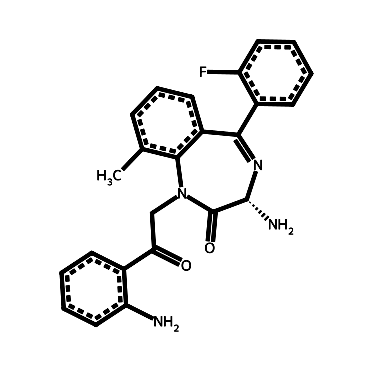 Cc1cccc2c1N(CC(=O)c1ccccc1N)C(=O)[C@@H](N)N=C2c1ccccc1F